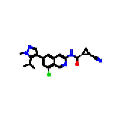 CC(C)c1c(-c2cc(Cl)c3cnc(NC(=O)[C@@H]4CC4C#N)cc3c2)cnn1C